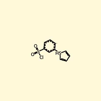 O=S(=O)(Cl)c1cc[c]c([SH]2C=CC=C2)c1